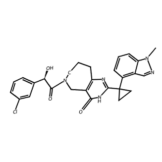 Cn1ncc2c(C3(c4nc5c(c(=O)[nH]4)CN(C(=O)[C@H](O)c4cccc(Cl)c4)CCC5)CC3)cccc21